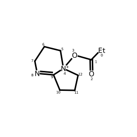 CCC(=O)O[N+]12CCCN=C1CCC2